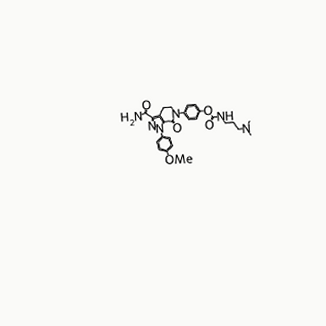 COc1ccc(-n2nc(C(N)=O)c3c2C(=O)N(c2ccc(OC(=O)NCCCN(C)C)cc2)CC3)cc1